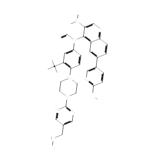 CNCc1cnc(N2CCN(c3ccc(N(C=O)c4c(N(C)C)cnc5ccc(-c6ccc(OC)nc6)cc45)cc3C(F)(F)F)CC2)nc1